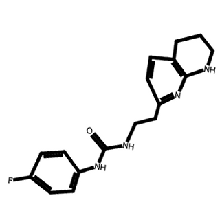 O=C(NCCc1ccc2c(n1)NCCC2)Nc1ccc(F)cc1